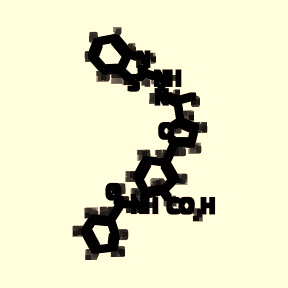 C/C(=N\Nc1nc2ccccc2s1)c1ccc(-c2ccc(NC(=O)c3ccccc3)c(C(=O)O)c2)o1